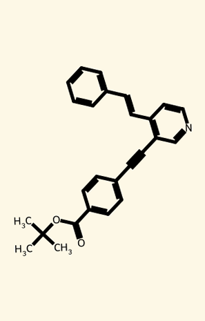 CC(C)(C)OC(=O)c1ccc(C#Cc2cnccc2C=Cc2ccccc2)cc1